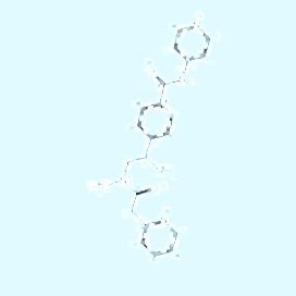 CN(CC(N)c1ccc(C(=O)Nc2ccncc2)cc1)C(=O)Cc1ccccn1